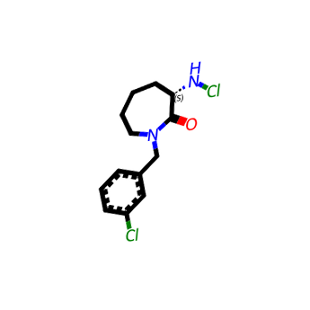 O=C1[C@@H](NCl)CCCCN1Cc1cccc(Cl)c1